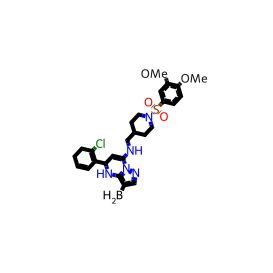 Bc1cnn2c1NC(C1=C(Cl)CCC=C1)C=C2NCC1CCN(S(=O)(=O)c2ccc(OC)c(OC)c2)CC1